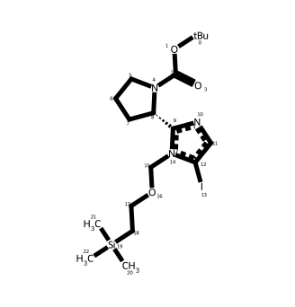 CC(C)(C)OC(=O)N1CCC[C@H]1c1ncc(I)n1COCC[Si](C)(C)C